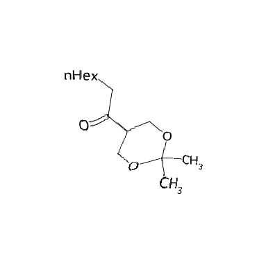 CCCCCCCC(=O)C1COC(C)(C)OC1